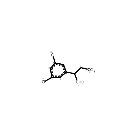 O=CC(CC(Cl)(Cl)Cl)c1cc(Cl)cc(Cl)c1